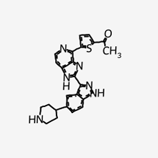 CC(=O)c1ccc(-c2nccc3[nH]c(-c4n[nH]c5ccc(C6CCNCC6)cc45)nc23)s1